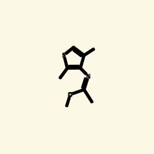 CO/C(C)=N\c1c(C)csc1C